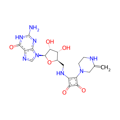 C=C1CN(c2c(NC[C@H]3O[C@@H](n4cnc5c(=O)[nH]c(N)nc54)[C@H](O)[C@@H]3O)c(=O)c2=O)CCN1